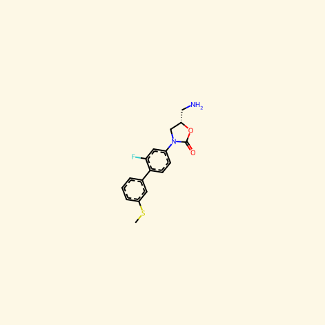 CSc1cccc(-c2ccc(N3C[C@H](CN)OC3=O)cc2F)c1